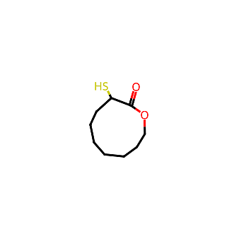 O=C1OCCCCCCCC1S